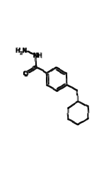 NNC(=O)c1ccc(CC2CCCCC2)cc1